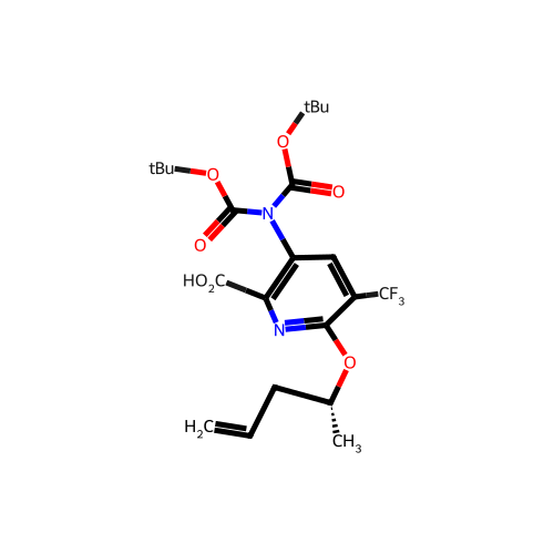 C=CC[C@@H](C)Oc1nc(C(=O)O)c(N(C(=O)OC(C)(C)C)C(=O)OC(C)(C)C)cc1C(F)(F)F